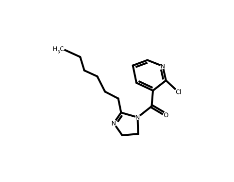 CCCCCCC1=NCCN1C(=O)c1cccnc1Cl